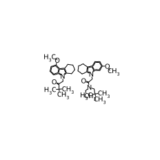 CCN(CC(C)(C)C)C(=O)Cn1c2c(c3ccc(OC)cc31)CCCC2.COc1cccc2c1c1c(n2CC(=O)C(C)(C)C)CCCC1